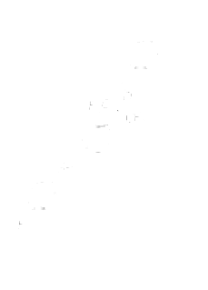 Fc1ccc(SCc2ccc(C(OCc3ccccc3)(C(F)(F)F)C(F)(F)F)cc2)cc1